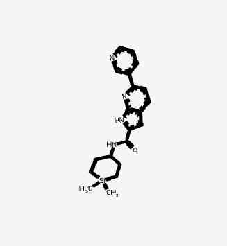 C[Si]1(C)CCC(NC(=O)c2cc3ccc(-c4cccnc4)nc3[nH]2)CC1